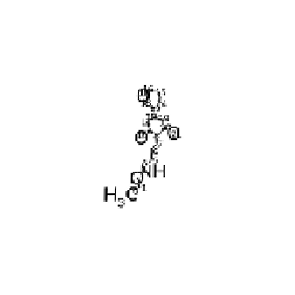 CCONCCCC=C1C(=O)CC(C2CCCOC2)CC1=O